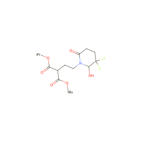 CC(C)OC(=O)C(CCN1C(=O)CCC(F)(F)C1O)C(=O)OC(C)(C)C